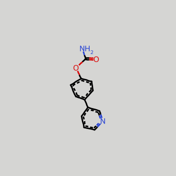 NC(=O)Oc1ccc(-c2cccnc2)cc1